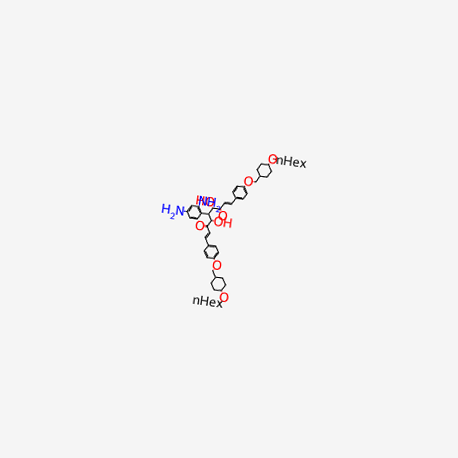 CCCCCCOC1CCC(COc2ccc(/C=C/C(=O)C(O)C(c3ccc(N)cc3N)C(O)C(=O)/C=C/c3ccc(OCC4CCC(OCCCCCC)CC4)cc3)cc2)CC1